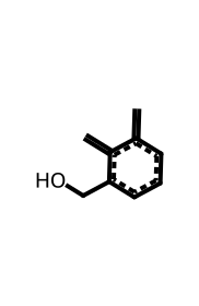 C=c1cccc(CO)c1=C